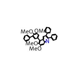 COc1cc(-c2c(OC)c(OC)cc3nc(-c4ccccc4)c(-c4ccccc4)cc23)cc(-c2ccccc2)c1OC